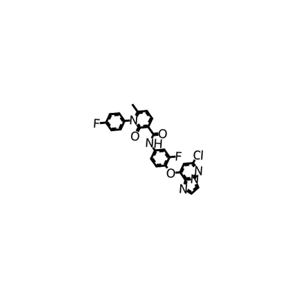 Cc1ccc(C(=O)Nc2ccc(Oc3cc(Cl)nn4ccnc34)c(F)c2)c(=O)n1-c1ccc(F)cc1